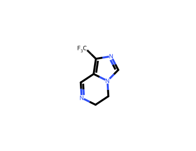 FC(F)(F)c1ncn2c1C=NCC2